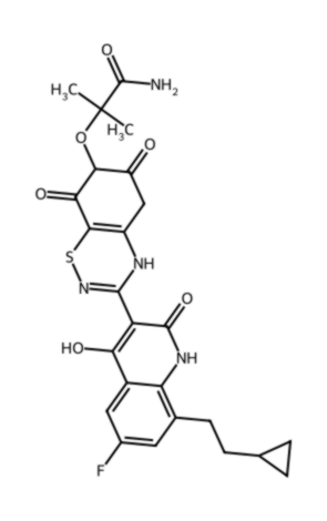 CC(C)(OC1C(=O)CC2=C(SN=C(c3c(O)c4cc(F)cc(CCC5CC5)c4[nH]c3=O)N2)C1=O)C(N)=O